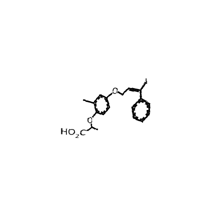 Cc1cc(OC/C=C(/I)c2ccccc2)ccc1OC(C)C(=O)O